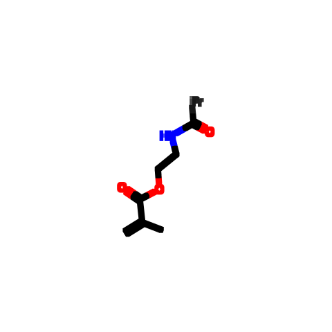 C=C(C)C(=O)OCCNC(=O)C(C)C